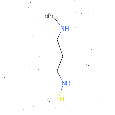 CCCNCCCNS